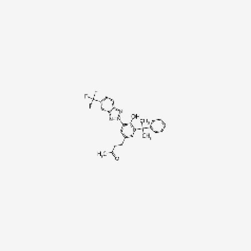 CC(=O)CCc1cc(-n2nc3ccc(C(F)(F)F)cc3n2)c(O)c(C(C)(C)c2ccccc2)c1